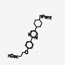 CCCCCCCCCCCCOc1ccc(-c2ncc(C3CCC(CCCCC)CC3)cn2)cc1